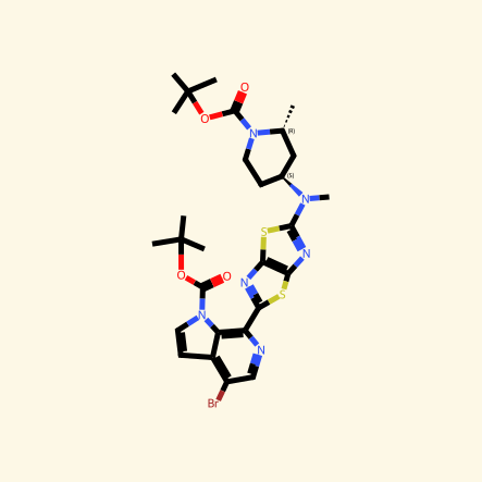 C[C@@H]1C[C@@H](N(C)c2nc3sc(-c4ncc(Br)c5ccn(C(=O)OC(C)(C)C)c45)nc3s2)CCN1C(=O)OC(C)(C)C